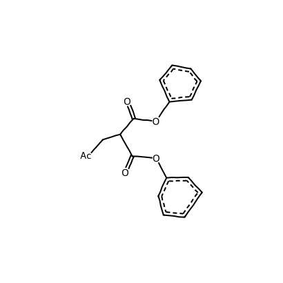 CC(=O)CC(C(=O)Oc1ccccc1)C(=O)Oc1ccccc1